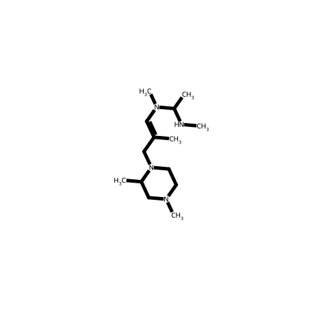 CNC(C)N(C)/C=C(\C)CN1CCN(C)CC1C